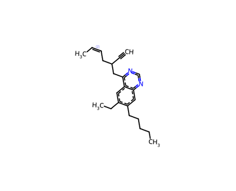 C#CC(C/C=C\C)Cc1ncnc2cc(CCCCC)c(CC)cc12